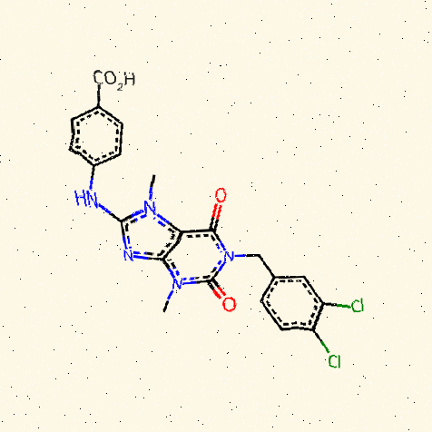 Cn1c(Nc2ccc(C(=O)O)cc2)nc2c1c(=O)n(Cc1ccc(Cl)c(Cl)c1)c(=O)n2C